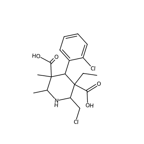 CCC1(C(=O)O)C(CCl)NC(C)C(C)(C(=O)O)C1c1ccccc1Cl